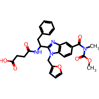 COC(=O)N(C)C(=O)c1ccc2c(c1)nc(C(Cc1ccccc1)NC(=O)CCC(=O)O)n2Cc1ccco1